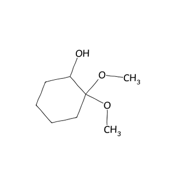 COC1(OC)CCCCC1O